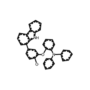 [O]c1ccc(-c2cccc3c2[nH]c2ccccc23)cc1Oc1ccccc1N(c1ccccc1)c1ccccc1